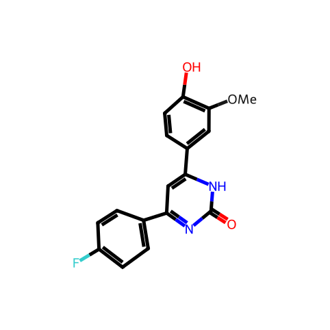 COc1cc(-c2cc(-c3ccc(F)cc3)nc(=O)[nH]2)ccc1O